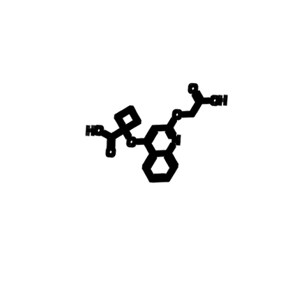 O=C(O)COc1cc(OC2(C(=O)O)CCC2)c2ccccc2n1